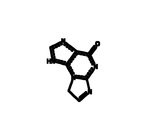 O=c1nc2n(c3[nH]cnc13)CC=N2